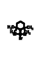 CC1(C)CCCC(C)(C)N1[Si](Br)(Br)Br